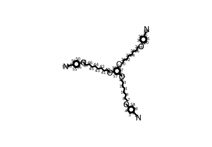 N#Cc1ccc(OCCCCCCCCOc2cc(OCCCCCCCCOc3ccc(C#N)cc3)cc(OCCCCCCCCOc3ccc(C#N)cc3)c2)cc1